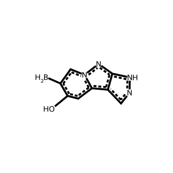 Bc1cn2nc3[nH]ncc3c2cc1O